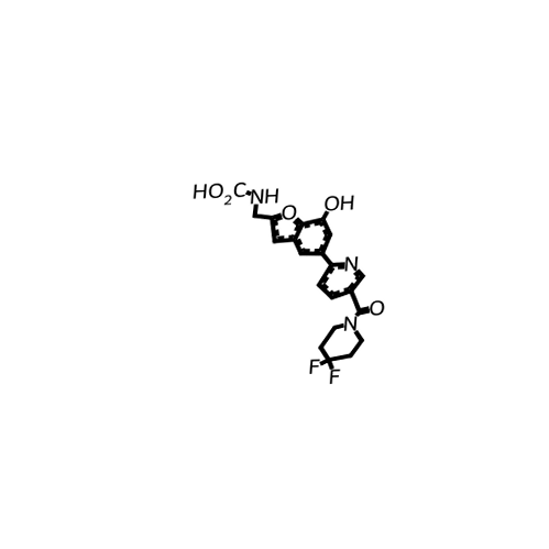 O=C(O)NCc1cc2cc(-c3ccc(C(=O)N4CCC(F)(F)CC4)cn3)cc(O)c2o1